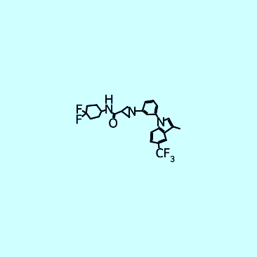 Cc1cn(-c2cccc(N3CC(C(=O)NC4CCC(F)(F)CC4)C3)c2)c2ccc(C(F)(F)F)cc12